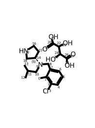 Cc1c(Cl)cccc1CN(CC(C)C)[C@H]1CCNC1.O=C(O)C(O)C(O)C(=O)O